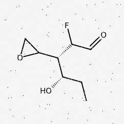 CC[C@H](O)[C@@H](C(F)C=O)C1CO1